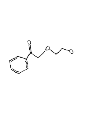 [O]CCOCC(=O)c1ccccc1